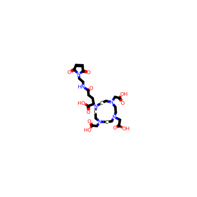 O=C(O)CN1CCN(CC(=O)O)CCN(C(CCC(=O)NCCN2C(=O)C=CC2=O)C(=O)O)CCN(CC(=O)O)CC1